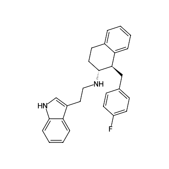 Fc1ccc(C[C@@H]2c3ccccc3CC[C@H]2NCCc2c[nH]c3ccccc23)cc1